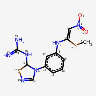 CSC(=C[N+](=O)[O-])Nc1cccc(N2C=NSC2NC(=N)N)c1